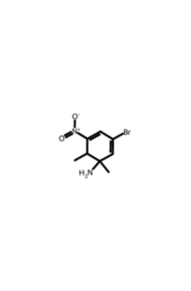 CC1C([N+](=O)[O-])=CC(Br)=CC1(C)N